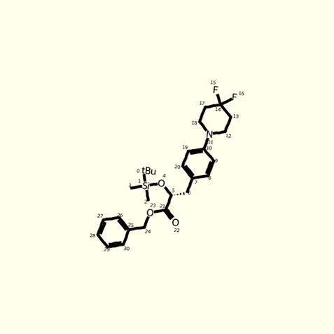 CC(C)(C)[Si](C)(C)O[C@H](Cc1ccc(N2CCC(F)(F)CC2)cc1)C(=O)OCc1ccccc1